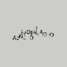 CC(=O)N1CC(OC(=O)NCCC=O)C1